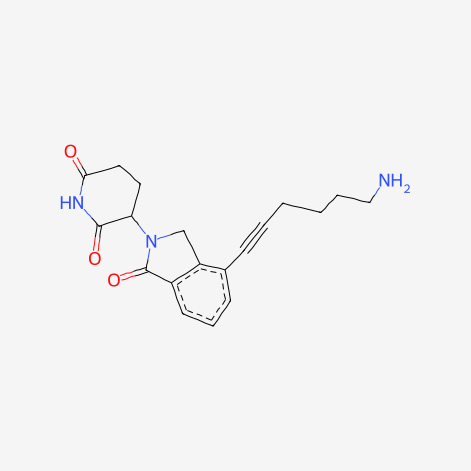 NCCCCC#Cc1cccc2c1CN(C1CCC(=O)NC1=O)C2=O